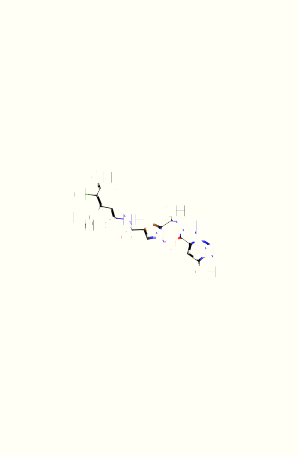 C=C/C(Cl)=C(\C=C(/C)NC(=O)c1cnc([C@@H](C)NC(=O)c2cc(C)ncn2)s1)C(F)(F)F